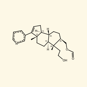 C[C@]1(CCO)[C@H](COC=O)CC[C@@H]2[C@@H]1CC[C@]1(C)C(c3cccnc3)=CC[C@@H]21